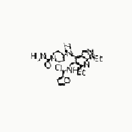 CCc1nc2c(cnn2CC)c(NC2CCN(C(N)=O)CC2)c1CNC(=O)c1ccco1